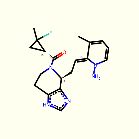 CC1=CC=CN(N)/C1=C\C[C@H]1c2nc[nH]c2CCN1C(=O)[C@@H]1CC1(C)F